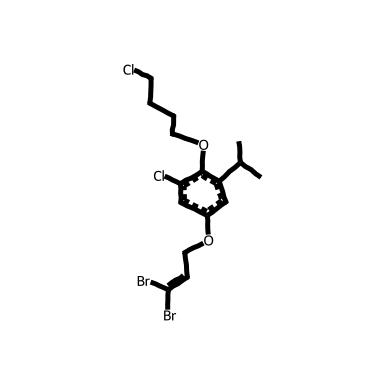 CC(C)c1cc(OCC=C(Br)Br)cc(Cl)c1OCCCCCl